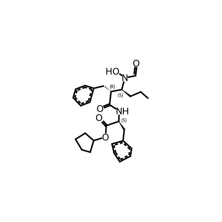 CCC[C@@H]([C@@H](Cc1ccccc1)C(=O)N[C@@H](Cc1ccccc1)C(=O)OC1CCCC1)N(O)C=O